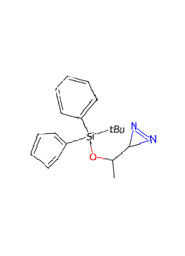 CC(O[Si](c1ccccc1)(c1ccccc1)C(C)(C)C)C1N=N1